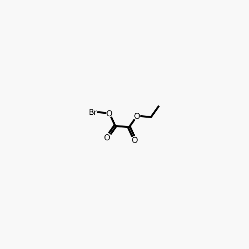 CCOC(=O)C(=O)OBr